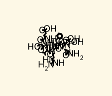 CC(C)[C@H](NC(=O)[C@@H](NC(=O)[C@@H](N)CCC(=O)O)[C@@H](C)O)C(=O)N[C@@H](CCCNC(=N)N)C(=O)N[C@@H](Cc1ccccc1)C(=O)N[C@@H](CCC(N)=O)C(=O)N[C@@H](CO)C(=O)O